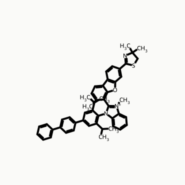 Cc1ccc2c(oc3cc(C4=NC(C)(C)CS4)ccc32)c1-c1n(-c2c(C(C)C)cc(-c3ccc(-c4ccccc4)cc3)cc2C(C)C)c2ccccc2[n+]1C